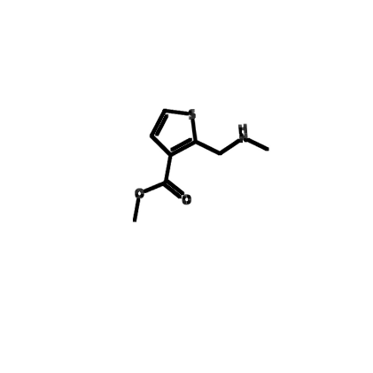 CNCc1sccc1C(=O)OC